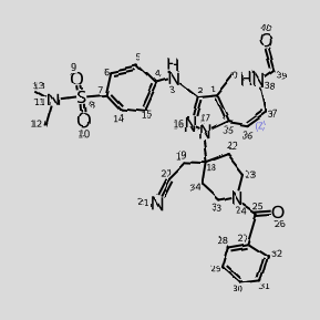 Cc1c(Nc2ccc(S(=O)(=O)N(C)C)cc2)nn(C2(CC#N)CCN(C(=O)c3ccccc3)CC2)c1/C=C\NC=O